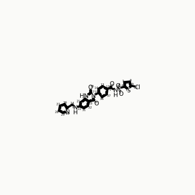 O=C(NS(=O)(=O)c1ccc(Cl)s1)c1ccc(-n2c(=O)[nH]c3cc(NCc4ccccn4)ccc3c2=O)cc1